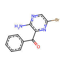 Nc1ncc(Br)nc1C(=O)c1ccccc1